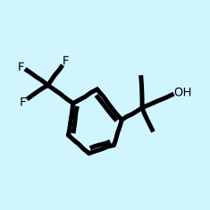 CC(C)(O)c1cccc(C(F)(F)F)c1